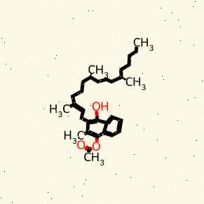 CCCCC[C@@H](C)CCC[C@@H](C)CCC/C(C)=C/Cc1c(C)c(OC(C)=O)c2ccccc2c1O